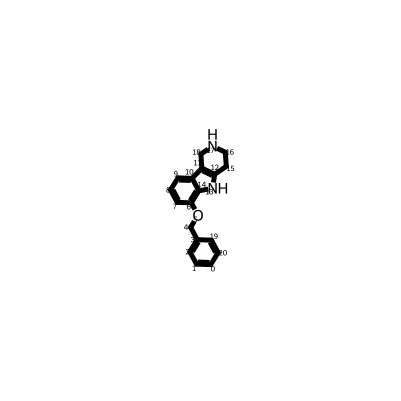 c1ccc(COc2cccc3c4c([nH]c23)CCNC4)cc1